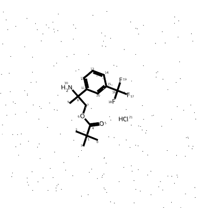 CC(C)(C)C(=O)OCC(C)(N)c1cccc(C(F)(F)F)c1.Cl